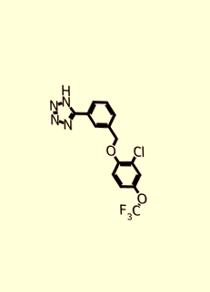 FC(F)(F)Oc1ccc(OCc2cccc(-c3nnn[nH]3)c2)c(Cl)c1